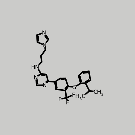 CC(C)c1ccccc1Sc1ccc(-c2cc(NCCCn3ccnc3)ncn2)cc1C(F)(F)F